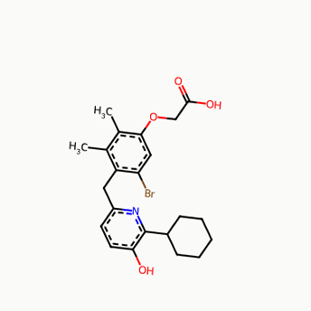 Cc1c(OCC(=O)O)cc(Br)c(Cc2ccc(O)c(C3CCCCC3)n2)c1C